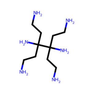 NCCC(N)(CCN)C(N)(CCN)CCN